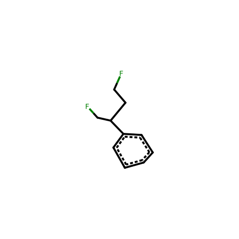 FCCC(CF)c1ccccc1